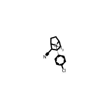 CN1C2CCC1C(C#N)[C@@H](c1ccc(Cl)cc1)C2